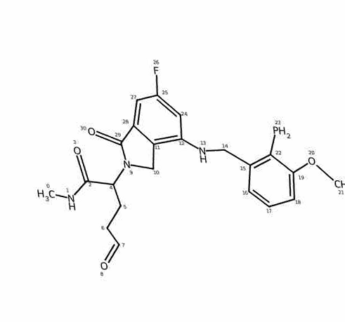 CNC(=O)C(CCC=O)N1Cc2c(NCc3cccc(OC)c3P)cc(F)cc2C1=O